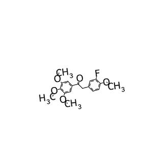 COc1ccc(CC(=O)c2cc(OC)c(OC)c(OC)c2)cc1F